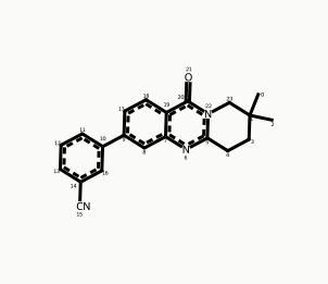 CC1(C)CCc2nc3cc(-c4cccc(C#N)c4)ccc3c(=O)n2C1